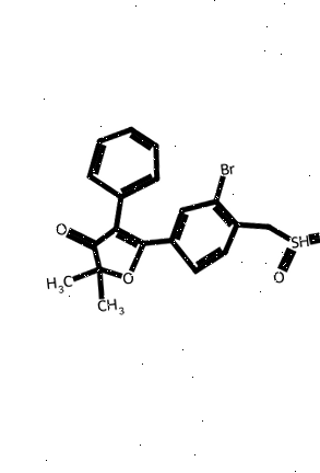 CC1(C)OC(c2ccc(C[SH](=O)=O)c(Br)c2)=C(c2ccccc2)C1=O